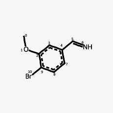 COc1cc(C=N)ccc1Br